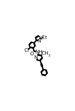 CCn1ccc(-c2ccc(Cl)c(C(=O)Nc3ncc(C#Cc4ccccc4)cc3C)c2)n1